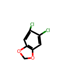 Clc1cc2c(cc1Cl)OCO2